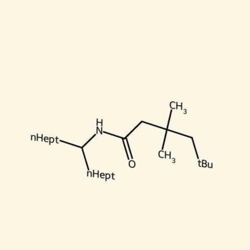 CCCCCCCC(CCCCCCC)NC(=O)CC(C)(C)CC(C)(C)C